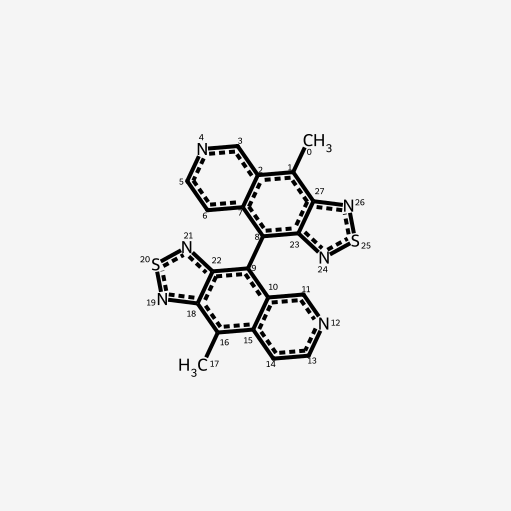 Cc1c2cnccc2c(-c2c3cnccc3c(C)c3nsnc23)c2nsnc12